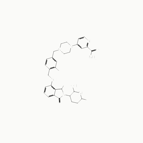 NC(=O)c1cc(N2CCN(Cc3ccc(CNc4cccc5c4C(O)N(C4CCC(O)NC4O)C5=O)c(F)c3)CC2)ccn1